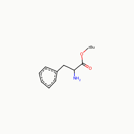 CC(C)(C)OC(=O)C(N)Cc1ccccc1